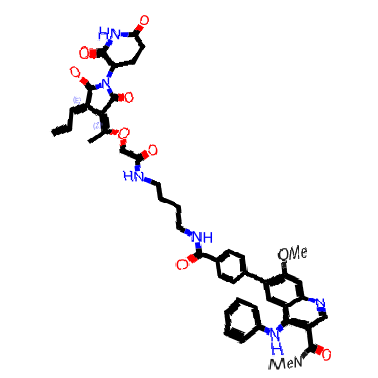 C=C/C=C1/C(=O)N(C2CCC(=O)NC2=O)C(=O)/C1=C(/C)OCC(=O)NCCCCNC(=O)c1ccc(-c2cc3c(Nc4ccccc4)c(C(=O)NC)cnc3cc2OC)cc1